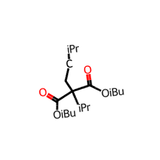 CC(C)CCC(C(=O)OCC(C)C)(C(=O)OCC(C)C)C(C)C